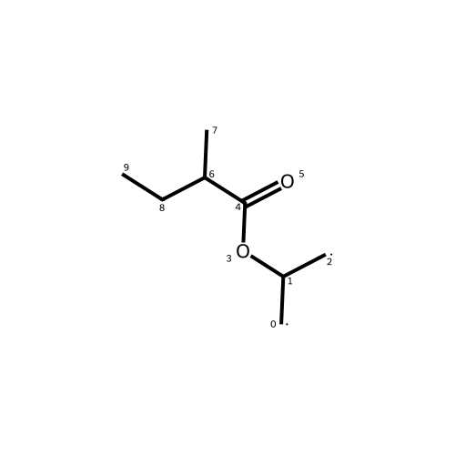 [CH2]C([CH2])OC(=O)C(C)CC